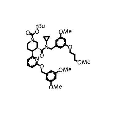 COCCCOc1cc(CN(C(=O)[C@H]2CN(C(=O)OC(C)(C)C)CC[C@@H]2c2cccc(OCc3cc(OC)cc(OC)c3)n2)C2CC2)cc(OC)c1